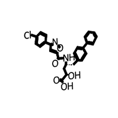 O=C(N[C@H](Cc1ccc(-c2ccccc2)cc1)C[C@@H](O)C(=O)O)c1cc(-c2ccc(Cl)cc2)no1